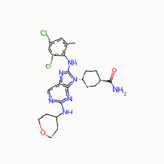 Cc1cc(Cl)cc(Cl)c1Nc1nc2cnc(NC3CCOCC3)nc2n1[C@H]1CC[C@H](C(N)=O)CC1